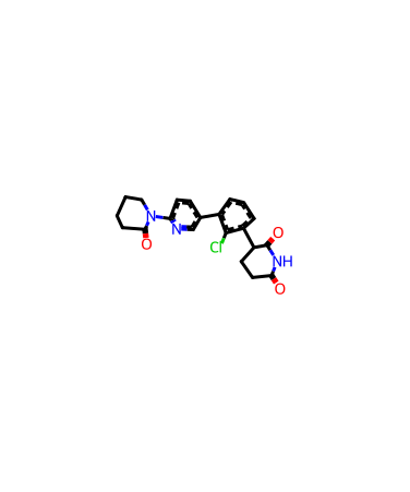 O=C1CCC(c2cccc(-c3ccc(N4CCCCC4=O)nc3)c2Cl)C(=O)N1